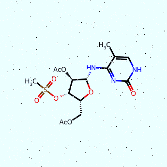 CC(=O)OC[C@H]1O[C@@H](Nc2nc(=O)[nH]cc2C)[C@H](OC(C)=O)[C@H]1OS(C)(=O)=O